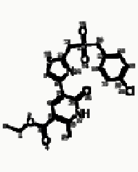 CCOC(=O)c1cc(-c2csc(CS(=O)(=O)Cc3ccc(Cl)cc3)n2)c(=O)[nH]c1C